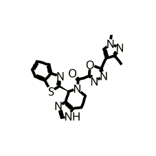 Cc1nn(C)cc1-c1nnc(C(=O)N2CCc3[nH]cnc3[C@H]2c2nc3ccccc3s2)o1